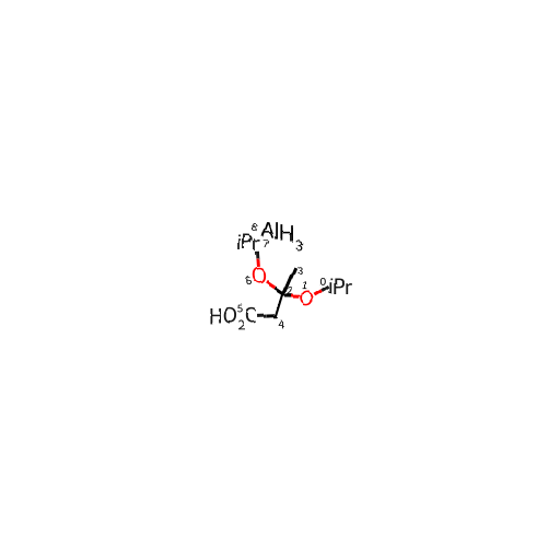 CC(C)OC(C)(CC(=O)O)OC(C)C.[AlH3]